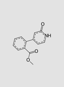 COC(=O)c1ccccc1-c1cc[nH]c(=O)c1